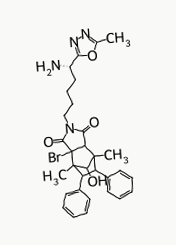 Cc1nnc([C@@H](N)CCCCN2C(=O)C3C4(C)C(c5ccccc5)C(c5ccccc5)C(C)(C4O)C3(Br)C2=O)o1